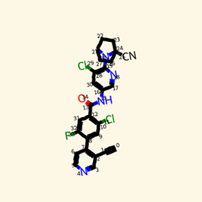 C#Cc1cnccc1-c1cc(Cl)c(C(=O)Nc2cnc(N3C4CCC3(C#N)CC4)c(Cl)c2)cc1F